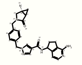 Nc1nccc2c1CCC2NC(=O)c1cnn(Cc2ccc(CN3C[C@H]4CC4C3=O)cc2)c1